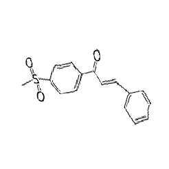 CS(=O)(=O)c1ccc(C(=O)C=Cc2ccccc2)cc1